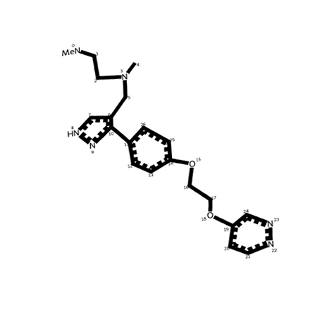 CNCCN(C)Cc1c[nH]nc1-c1ccc(OCCOc2ccnnc2)cc1